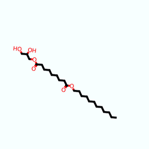 CCCCCCCCCCCCOC(=O)CCCCCCCC(=O)OCC(O)CO